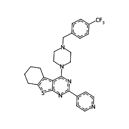 FC(F)(F)c1ccc(CN2CCN(c3nc(-c4ccncc4)nc4sc5c(c34)CCCC5)CC2)cc1